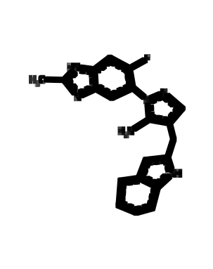 Cc1nc2cc(-n3ncc(Cc4cc5ccccc5[nH]4)c3N)c(F)cc2[nH]1